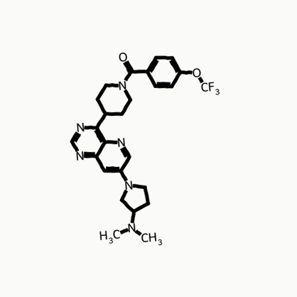 CN(C)C1CCN(c2cnc3c(C4CCN(C(=O)c5ccc(OC(F)(F)F)cc5)CC4)ncnc3c2)C1